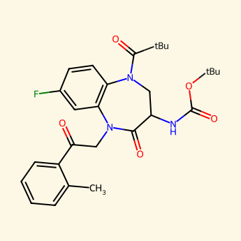 Cc1ccccc1C(=O)CN1C(=O)C(NC(=O)OC(C)(C)C)CN(C(=O)C(C)(C)C)c2ccc(F)cc21